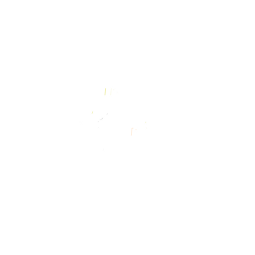 C=C1/C=C\C=C/CP(=S)(Cc2ccccc2)C(C(/C=C(/C)S)=C\C)=C1c1cc(C)sc1C